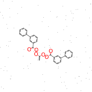 C=C(OOC(=O)c1cccc(-c2ccccc2)c1)OOC(=O)c1cccc(-c2ccccc2)c1